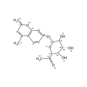 C=C1C=C(C)c2ccc(OC3OC(C(C)=O)C(O)[C@@H](O)C3O)cc2O1